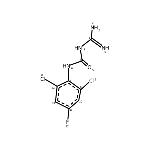 N=C(N)NC(=O)Nc1c(Cl)cc(F)cc1Cl